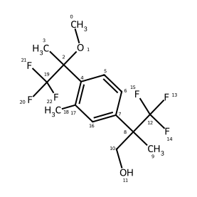 COC(C)(c1ccc(C(C)(CO)C(F)(F)F)cc1C)C(F)(F)F